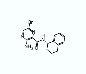 Nc1ncc(Br)nc1C(=O)N[C@H]1CCCc2ccccc21